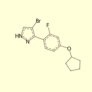 Fc1cc(OC2CCCC2)ccc1-c1n[nH]cc1Br